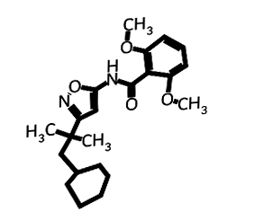 COc1cccc(OC)c1C(=O)Nc1cc(C(C)(C)CC2CCCCC2)no1